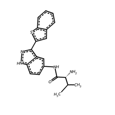 CC(C)[C@@H](N)C(=O)Nc1ccc2[nH]nc(-c3cc4ccccc4s3)c2c1